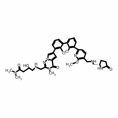 COc1nc(-c2cccc(-c3cccc(-c4cc5c(=O)n(C)c(CNCC(O)CC(=O)N(C)C)nn5c4)c3Cl)c2Cl)ccc1CNC[C@@H]1CCC(=O)N1